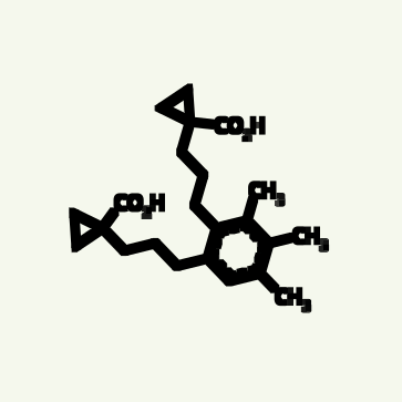 Cc1cc(CCCC2(C(=O)O)CC2)c(CCCC2(C(=O)O)CC2)c(C)c1C